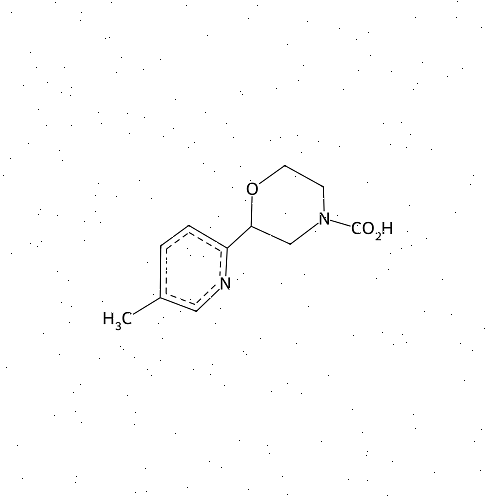 Cc1ccc(C2CN(C(=O)O)CCO2)nc1